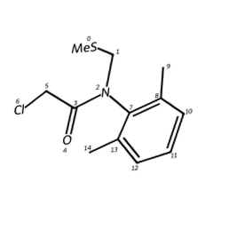 CSCN(C(=O)CCl)c1c(C)cccc1C